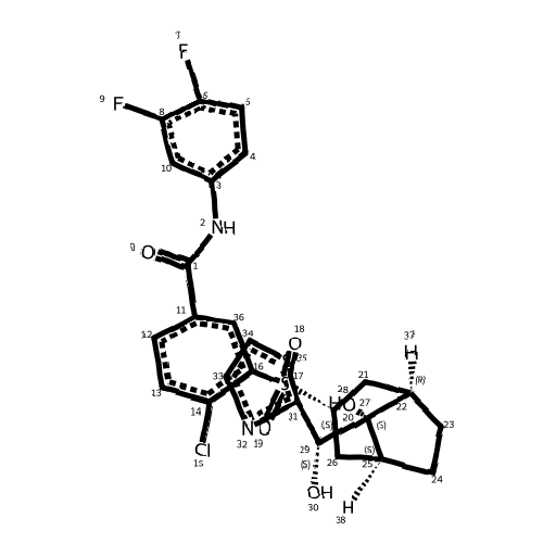 O=C(Nc1ccc(F)c(F)c1)c1ccc(Cl)c(S(=O)(=O)[C@@H]2C[C@H]3CC[C@@H](C2)[C@@]3(O)[C@H](O)c2nccs2)c1